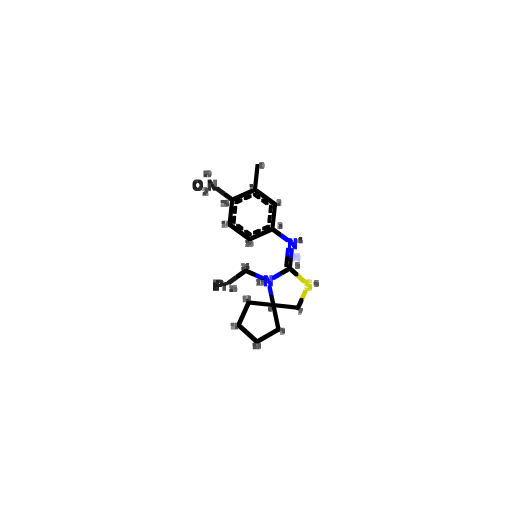 Cc1cc(/N=C2/SCC3(CCCC3)N2CC(C)C)ccc1[N+](=O)[O-]